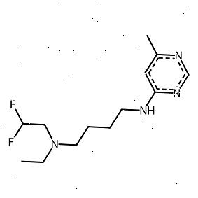 CCN(CCCCNc1cc(C)ncn1)CC(F)F